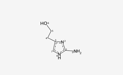 Nc1nc(CCO)c[nH]1